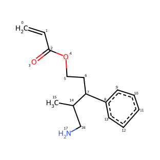 C=CC(=O)OCCC(c1ccccc1)C(C)CN